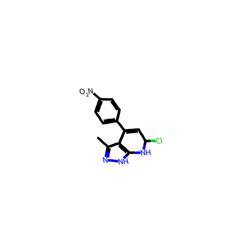 Cc1n[nH]c2c1C(c1ccc([N+](=O)[O-])cc1)=CC(Cl)N2